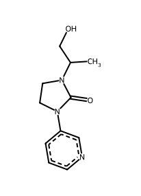 CC(CO)N1CCN(c2cccnc2)C1=O